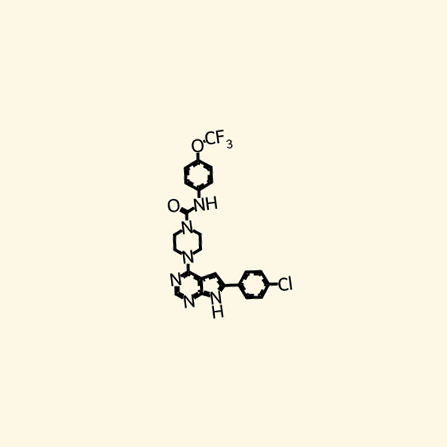 O=C(Nc1ccc(OC(F)(F)F)cc1)N1CCN(c2ncnc3[nH]c(-c4ccc(Cl)cc4)cc23)CC1